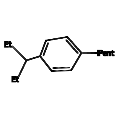 CCCC(C)c1ccc(C(CC)CC)cc1